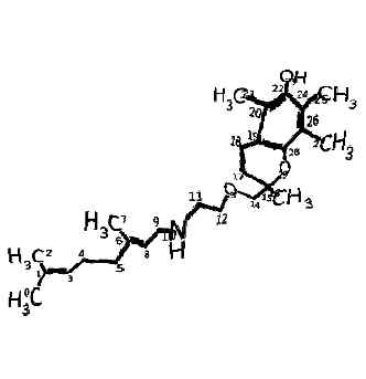 CC(C)=CCC/C(C)=C/CNCCOCC1(C)CCc2c(C)c(O)c(C)c(C)c2O1